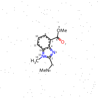 CNCc1nc2c(C(=O)OC)cccc2n1C